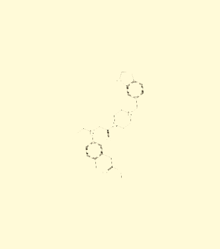 CCN(CC(=O)N1CCN(Cc2ccc3c(c2)OCO3)CC1)c1ccc(C)c(CC(=O)OC)c1